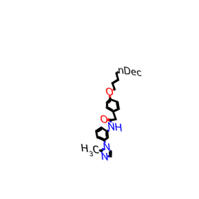 CCCCCCCCCCCCCCOc1ccc(CC(=O)Nc2cccc(-n3ccnc3C)c2)cc1